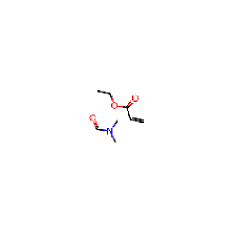 C=CC(=O)OCC.CN(C)C=O